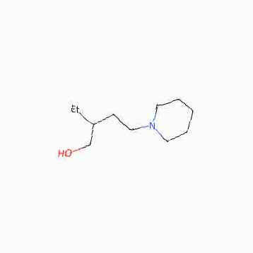 CCC(CO)CCN1CCCCC1